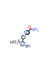 CC(C)N1CCN(C(=O)O)C(C2CCN(c3ccc(C(N)=O)cn3)C2)C1